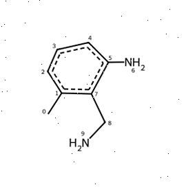 Cc1cccc(N)c1CN